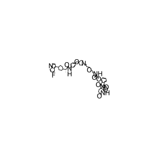 C[C@@H](C(=O)Nc1ccc(OC2CCN(CCCOCCNC(=O)COc3cccc4c3C(=O)N(C3CCC(=O)NC3=O)C4=O)CC2)cc1)C1CCC(c2ccnc3ccc(F)cc23)CC1